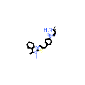 CC(Nc1ncc(Cc2ccc(N/C=C\[C@H](C)N)cc2)s1)c1ccccc1